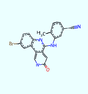 Cc1ccc(C#N)cc1Nc1nc2ccc(Br)cc2c2c1=CC(=O)[N]C=2